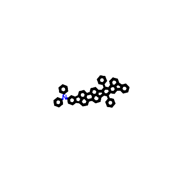 c1ccc(-c2c3cc4c5ccccc5c5cccc(c3c(-c3ccccc3)c3c6ccc7c8ccc9c%10c(ccc(c%11ccc(c23)c6c%117)c%108)-c2ccc(N(c3ccccc3)c3ccccc3)cc2-9)c54)cc1